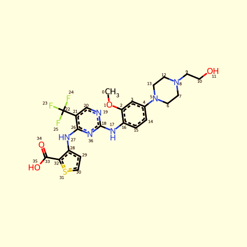 COc1cc(N2CCN(CCO)CC2)ccc1Nc1ncc(C(F)(F)F)c(Nc2ccsc2C(=O)O)n1